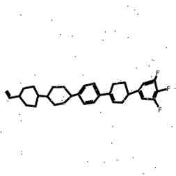 C=CC1CCC(C2CCC(c3ccc(C4=CCC(c5cc(F)c(F)c(F)c5)CC4)cc3)CC2)CC1